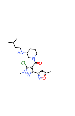 Cc1cc(-c2nn(C)c(Cl)c2C(=O)N2CCCC(NCCC(C)C)C2)no1